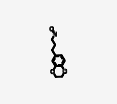 O=NCCCc1ccc2c(c1)OCCO2